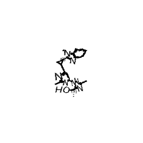 Cc1nc(C2C[C@H]2c2nc3ccccc3n2C)cc(-n2nc(C)nc2[C@H](C)O)n1